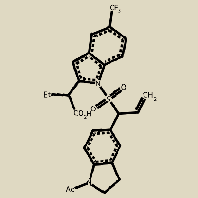 C=CC(c1ccc2c(c1)CCN2C(C)=O)S(=O)(=O)n1c(C(CC)C(=O)O)cc2cc(C(F)(F)F)ccc21